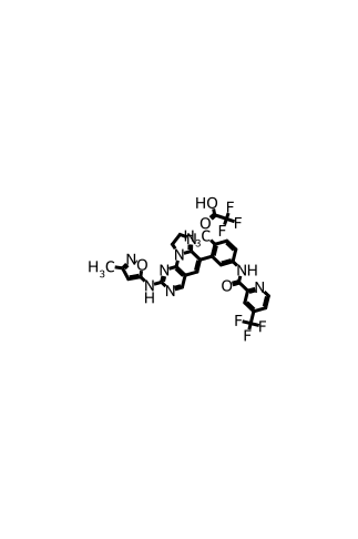 Cc1cc(Nc2ncc3c(n2)N2CCN=C2C(c2cc(NC(=O)c4cc(C(F)(F)F)ccn4)ccc2C)=C3)on1.O=C(O)C(F)(F)F